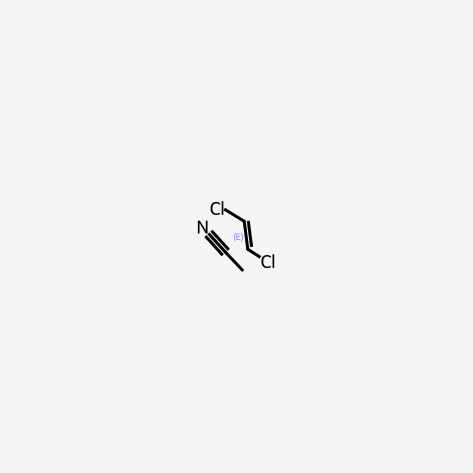 CC#N.Cl/C=C/Cl